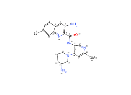 CCc1ccc2cc(N)c(C(=O)Nc3cnc(OC)cc3N3CCCC(N)C3)nc2c1